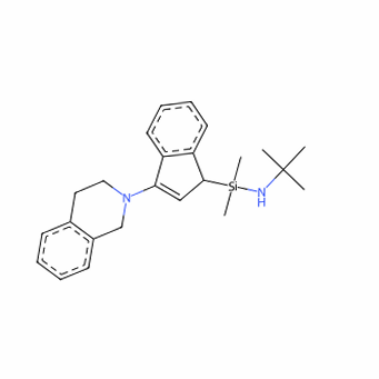 CC(C)(C)N[Si](C)(C)C1C=C(N2CCc3ccccc3C2)c2ccccc21